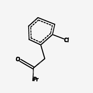 CC(C)C(=O)Cc1ccccc1Cl